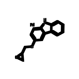 [Pd].c1ccc2c(c1)[nH]c1ccc(OCC3CO3)cc12